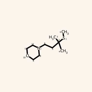 CSC(C)(C)CCN1CCOCC1